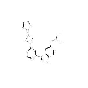 CC(C)Oc1ccc2[nH]nc(-c3cc(N4CC(n5cccn5)C4)ncn3)c2c1